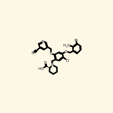 Cc1c(Br)cccc1COc1cc(OCc2cncc(C#N)c2)c(CN2CCCC[C@H]2C(=O)O)cc1Cl